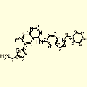 NCc1ccc(-c2cc3c(Nc4ccc5c(cnn5Cc5ccccc5)c4)ncnc3cc2F)o1